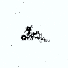 CC(C)(C)OC(=O)NCCCN(C(=O)CCl)[C@@H](c1nc(-c2cc(F)ccc2F)cn1Cc1ccccc1)C(C)(C)C